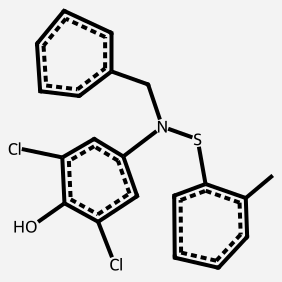 Cc1ccccc1SN(Cc1ccccc1)c1cc(Cl)c(O)c(Cl)c1